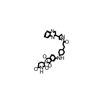 O=C1CCC(N2C(=O)c3ccc(NC4CCC(CCC(=O)n5cc(-c6cnc7ccccc7n6)cn5)CC4)cc3C2=O)C(=O)N1